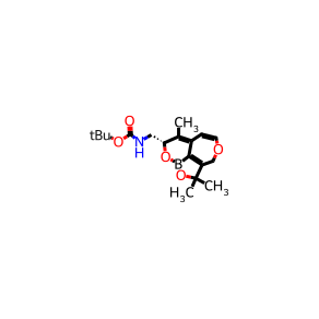 CC1=C2C=COCC3=C2B(O[C@@H]1CNC(=O)OC(C)(C)C)OC3(C)C